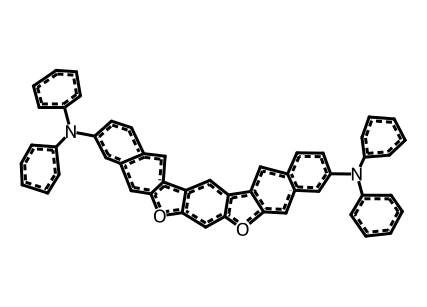 c1ccc(N(c2ccccc2)c2ccc3cc4c(cc3c2)oc2cc3oc5cc6cc(N(c7ccccc7)c7ccccc7)ccc6cc5c3cc24)cc1